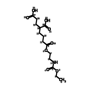 CCOC(=O)NCCOC(=O)CCCC(CCC(=O)O)C(=O)O